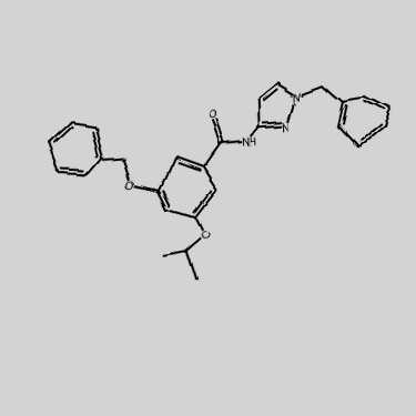 CC(C)Oc1cc(OCc2ccccc2)cc(C(=O)Nc2ccn(Cc3ccccc3)n2)c1